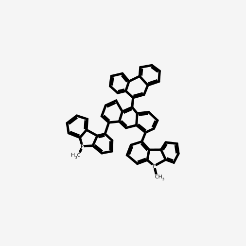 Cp1c2ccccc2c2c(-c3cccc4c(-c5cc6ccccc6c6ccccc56)c5cccc(-c6cccc7c6c6ccccc6p7C)c5cc34)cccc21